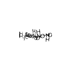 CN/C(C)=C\C(=O)Cc1ccc(NC(=O)CC(=O)NCCOCCCNC=O)cc1